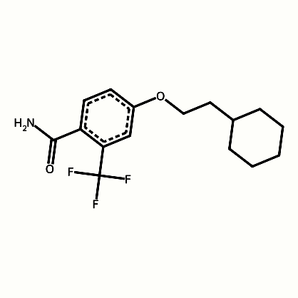 NC(=O)c1ccc(OCCC2CCCCC2)cc1C(F)(F)F